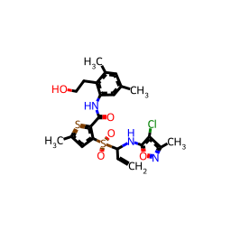 C=CC(Nc1onc(C)c1Cl)S(=O)(=O)c1cc(C)sc1C(=O)Nc1cc(C)cc(C)c1CCO